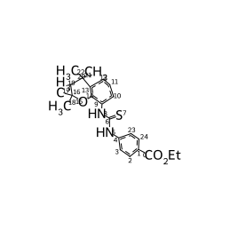 CCOC(=O)c1ccc(NC(=S)Nc2cccc3c2OC(C)(C)CC3(C)C)cc1